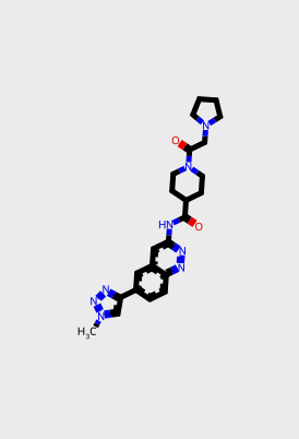 Cn1cc(-c2ccc3nnc(NC(=O)C4CCN(C(=O)CN5CCCC5)CC4)cc3c2)nn1